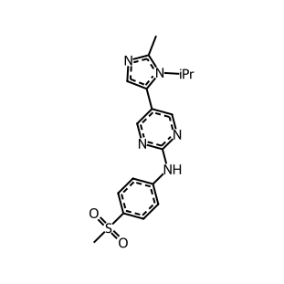 Cc1ncc(-c2cnc(Nc3ccc(S(C)(=O)=O)cc3)nc2)n1C(C)C